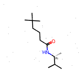 CC(C)[C@@H](C)NC(=O)CCCC(C)(C)C